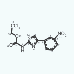 O=C(Nc1nc(-c2cccc([N+](=O)[O-])c2)cs1)OCC(Cl)(Cl)Cl